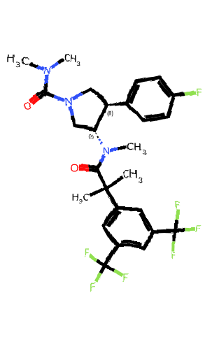 CN(C)C(=O)N1C[C@@H](N(C)C(=O)C(C)(C)c2cc(C(F)(F)F)cc(C(F)(F)F)c2)[C@H](c2ccc(F)cc2)C1